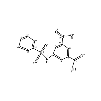 O=C(O)c1cc(NS(=O)(=O)c2ccccc2)cc([N+](=O)[O-])c1